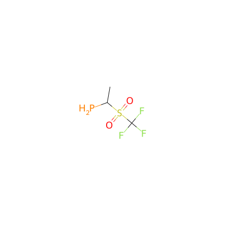 CC(P)S(=O)(=O)C(F)(F)F